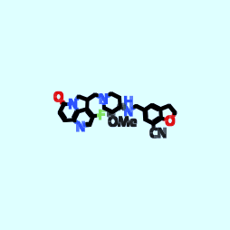 CO[C@@H]1CN(CC2Cn3c(=O)ccc4ncc(F)c2c43)CC[C@@H]1NCc1cc(C#N)c2c(c1)CCO2